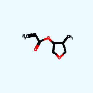 C=CC(=O)OC1COCC1C